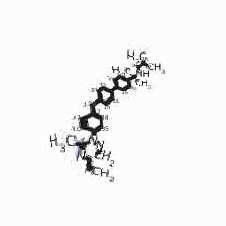 C=CC/N=C(/C)N(N=C)c1ccc(Cc2ccc(-c3ccc(C(C)(C)NCC(C)C)cc3)cc2)cc1